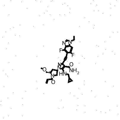 C=CC(=O)N1CC(n2nc(C#Cc3c(F)cc4c(ncn4CC)c3F)c(C(N)=O)c2NCC2CC2)C[C@@H]1COC